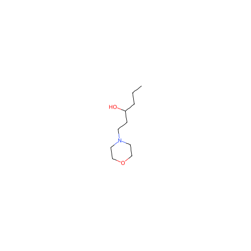 CCCC(O)CCN1CCOCC1